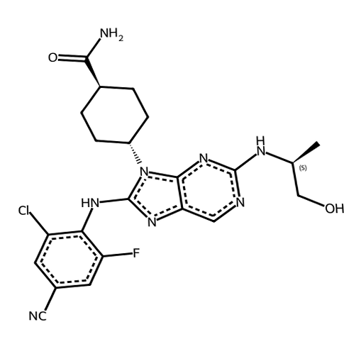 C[C@@H](CO)Nc1ncc2nc(Nc3c(F)cc(C#N)cc3Cl)n([C@H]3CC[C@H](C(N)=O)CC3)c2n1